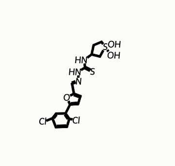 OS1(O)CCC(NC(=S)N/N=C/c2ccc(-c3cc(Cl)ccc3Cl)o2)C1